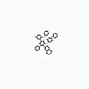 CC(C)(C)c1ccc(Nc2ccc(C(C)(C)C)cc2-c2c3c4c(c5cc6c(cc5n4-c4cc5oc7ccccc7c5cc4B3)C(C)(C)CCC6(C)C)c3c2oc2ccccc23)cc1